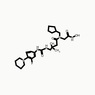 CC(C)(CNC(=O)Nc1ccc(N2CCCCC2)c(F)c1)CC(=O)N(CC(=O)NO)CC1CCCC1